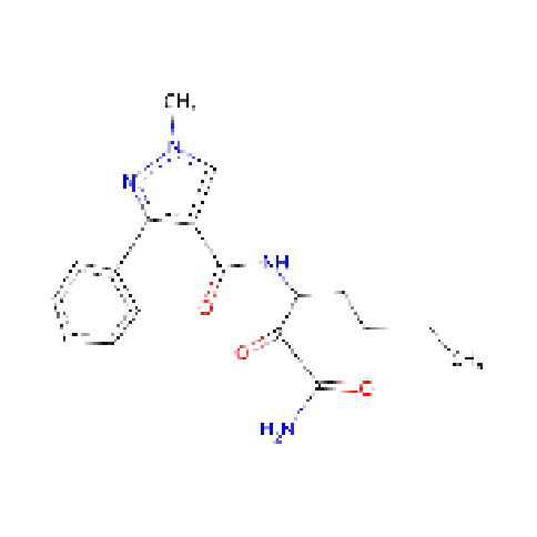 CCCCC(NC(=O)c1cn(C)nc1-c1ccccc1)C(=O)C(N)=O